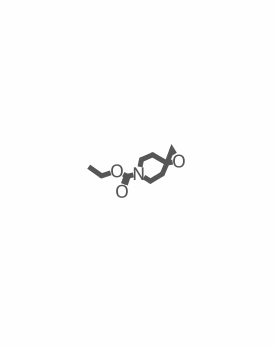 CCOC(=O)N1CCC2(CC1)CO2